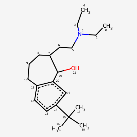 CCN(CC)CCC1CCCc2ccc(C(C)(C)C)cc2C1O